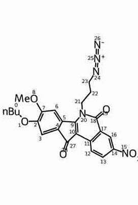 CCCCOc1cc2c(cc1OC)-c1c(c3ccc([N+](=O)[O-])cc3c(=O)n1CCCN=[N+]=[N-])C2=O